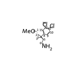 COC[C@H]1C[C@@]1(CCN)c1ccc(Cl)c(Cl)c1